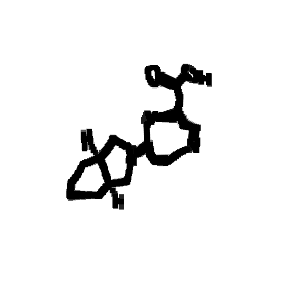 O=C(O)c1cncc(N2C[C@H]3CCC[C@H]3C2)n1